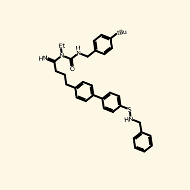 CCN(C(=N)CCCc1ccc(-c2ccc(SNCc3ccccc3)cc2)cc1)C(=O)NCc1ccc(C(C)(C)C)cc1